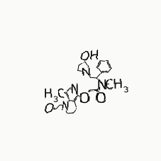 Cc1cnc(OCC(=O)N(C)C(CN2CC[C@H](O)C2)c2ccccc2)c2c1N(CC=O)CCC2